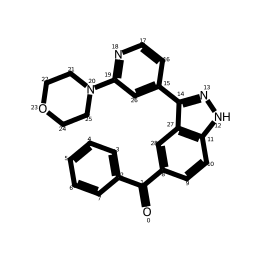 O=C(c1ccccc1)c1ccc2[nH]nc(-c3ccnc(N4CCOCC4)c3)c2c1